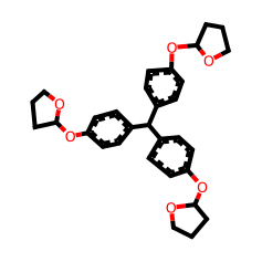 c1cc(C(c2ccc(OC3CCCO3)cc2)c2ccc(OC3CCCO3)cc2)ccc1OC1CCCO1